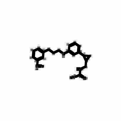 CCCC(=O)NCC1CC1c1cccc(OCCCc2cccc(OC)c2)c1